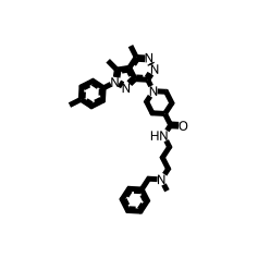 Cc1ccc(-n2nc3c(N4CCC(C(=O)NCCCN(C)Cc5ccccc5)CC4)nnc(C)c3c2C)cc1